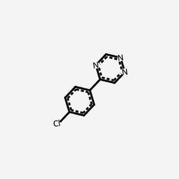 Clc1ccc(-c2cnncn2)cc1